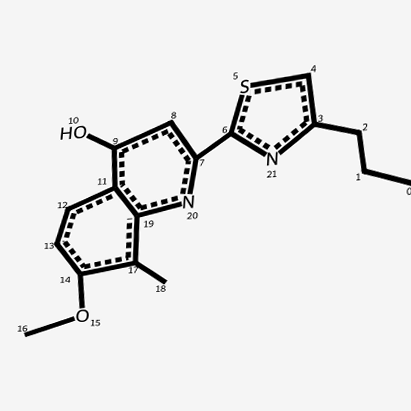 CCCc1csc(-c2cc(O)c3ccc(OC)c(C)c3n2)n1